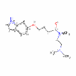 CN(C)CCN(C)C(=O)CCCOc1ccc2[c]c[nH]c2c1